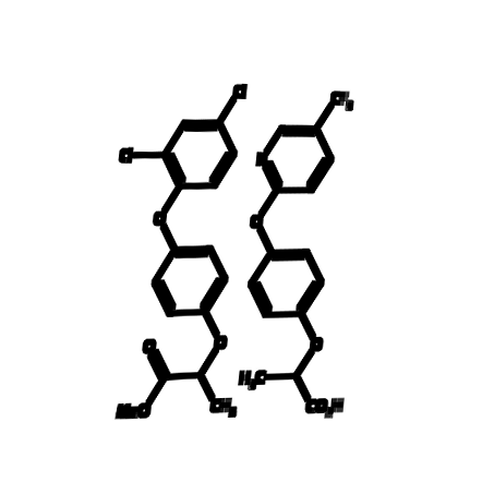 CC(Oc1ccc(Oc2ccc(C(F)(F)F)cn2)cc1)C(=O)O.COC(=O)C(C)Oc1ccc(Oc2ccc(Cl)cc2Cl)cc1